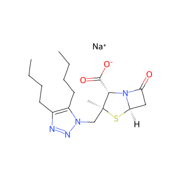 CCCCc1nnn(C[C@]2(C)S[C@@H]3CC(=O)N3[C@H]2C(=O)[O-])c1CCCC.[Na+]